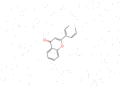 C/C=C\C(=C/C)c1cc(=O)c2ccccc2o1